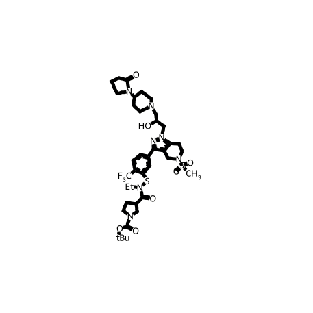 CCN(Sc1cc(-c2nn(CC(O)CN3CCC(N4CCCC4=O)CC3)c3c2CN(S(C)(=O)=O)CC3)ccc1C(F)(F)F)C(=O)C1CCN(C(=O)OC(C)(C)C)C1